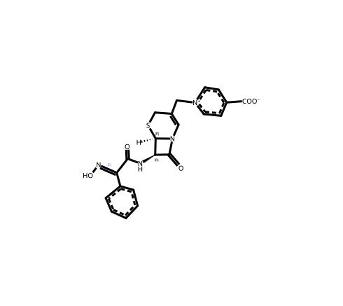 O=C(N[C@@H]1C(=O)N2C=C(C[n+]3ccc(C(=O)[O-])cc3)CS[C@H]12)/C(=N/O)c1ccccc1